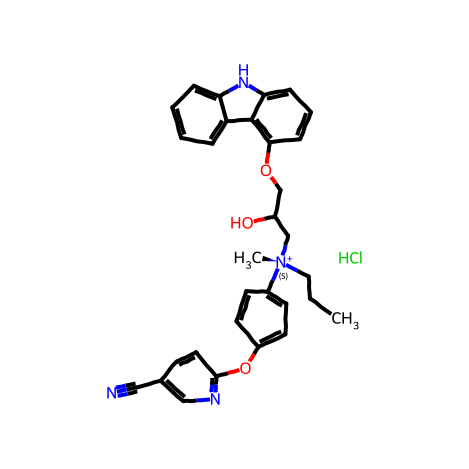 CCC[N@@+](C)(CC(O)COc1cccc2[nH]c3ccccc3c12)c1ccc(Oc2ccc(C#N)cn2)cc1.Cl